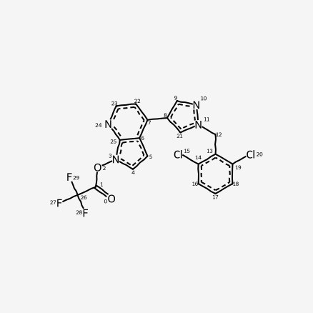 O=C(On1ccc2c(-c3cnn(Cc4c(Cl)cccc4Cl)c3)ccnc21)C(F)(F)F